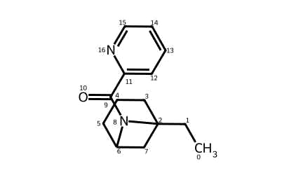 CCC12CCCC(C1)N2C(=O)c1ccccn1